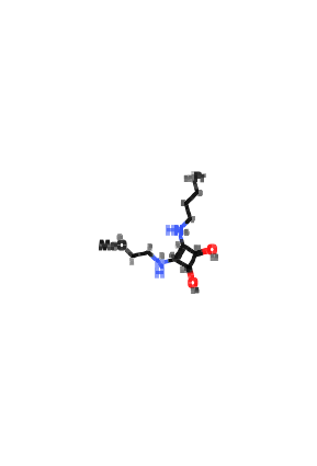 COCCNc1c(NCCCC(C)C)c(=O)c1=O